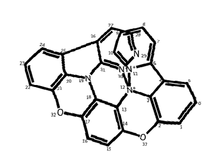 c1cc2c3c(c1)-c1cccc[n+]1[N+]31c3c(ccc4c3-n3c5c(cccc5c5ccn[n+]1c53)O4)O2